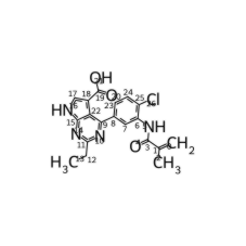 C=C(C)C(=O)Nc1cc(-c2nc(CC)nc3[nH]cc(C(=O)O)c23)ccc1Cl